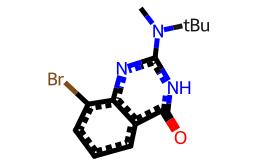 CN(c1nc2c(Br)cccc2c(=O)[nH]1)C(C)(C)C